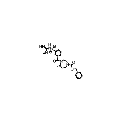 C=NC(=N)NS(=O)(=O)c1cccc(C(=O)N2CCN(C(=O)OCc3ccccc3)CC[C@H]2C)c1